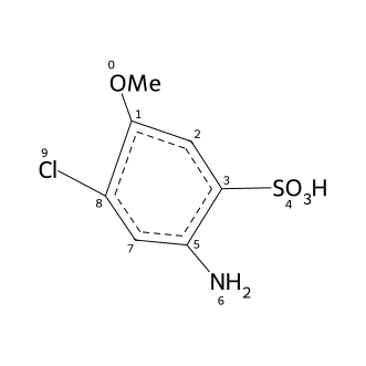 COc1cc(S(=O)(=O)O)c(N)cc1Cl